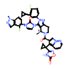 C[C@H]1c2c(nn(-c3ccc(F)c(C4CC4)c3)c2-n2ccn(-c3ccc4c(cnn4C)c3F)c2=O)CCN1C(=O)c1cn2ncccc2c1C1(c2noc(=O)[nH]2)CC1